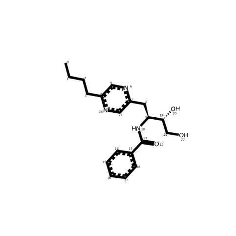 CCCCc1cnc(C[C@H](NC(=O)c2ccccc2)[C@H](O)CO)cn1